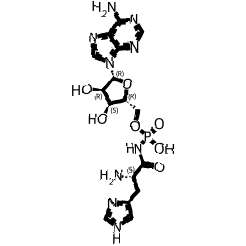 Nc1ncnc2c1ncn2[C@@H]1O[C@H](COP(=O)(O)NC(=O)[C@@H](N)Cc2c[nH]cn2)[C@@H](O)[C@H]1O